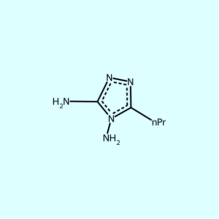 CCCc1nnc(N)n1N